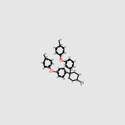 CCC1CCC(c2ccc(Oc3ccc(C)cc3)cc2)(c2cccc(Oc3ccc(C)cc3)c2)CC1